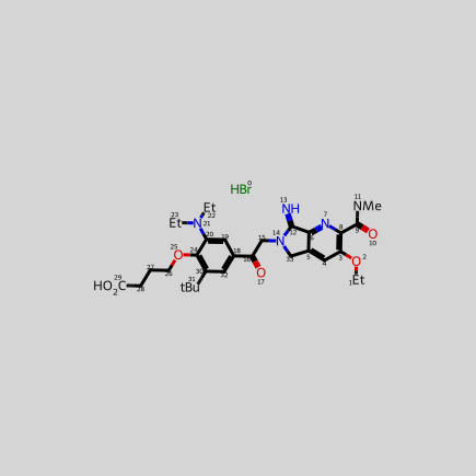 Br.CCOc1cc2c(nc1C(=O)NC)C(=N)N(CC(=O)c1cc(N(CC)CC)c(OCCCC(=O)O)c(C(C)(C)C)c1)C2